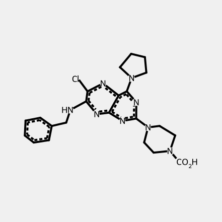 O=C(O)N1CCN(c2nc(N3CCCC3)c3nc(Cl)c(NCc4ccccc4)nc3n2)CC1